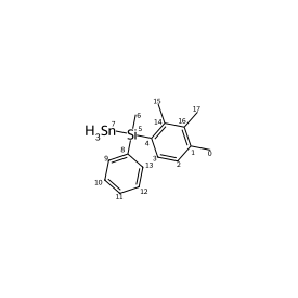 Cc1ccc([Si](C)([SnH3])c2ccccc2)c(C)c1C